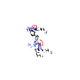 CCCN(CCC)C(=O)C1=Cc2ccc(-c3ccc4c(=O)[nH]c(=O)n(C)c4c3)cc2N=C(N)C1